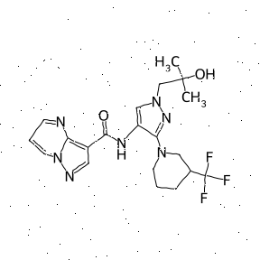 CC(C)(O)Cn1cc(NC(=O)c2cnn3cccnc23)c(N2CCCC(C(F)(F)F)C2)n1